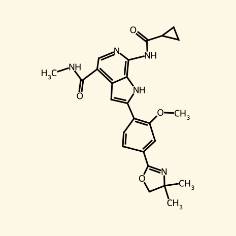 CNC(=O)c1cnc(NC(=O)C2CC2)c2[nH]c(-c3ccc(C4=NC(C)(C)CO4)cc3OC)cc12